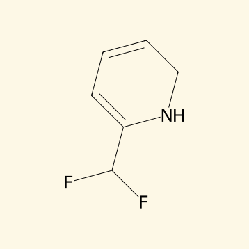 FC(F)C1=CC=CCN1